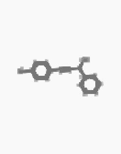 OC(C#Cc1ccc(Br)cc1)c1ccccc1